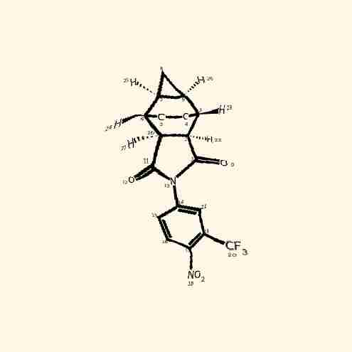 O=C1[C@@H]2[C@@H]3CC[C@@H]([C@H]4C[C@H]43)[C@@H]2C(=O)N1c1ccc([N+](=O)[O-])c(C(F)(F)F)c1